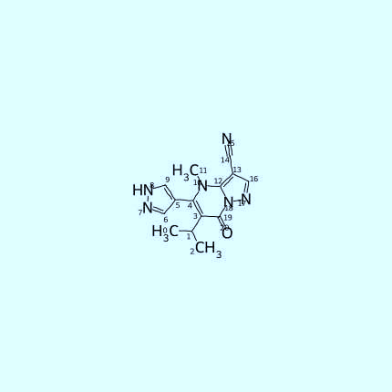 CC(C)c1c(-c2cn[nH]c2)n(C)c2c(C#N)cnn2c1=O